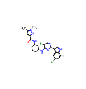 Cc1cc(C(=O)N[C@@H]2CCC[C@H](Nc3nc(-c4c[nH]c5c(F)cc(Cl)cc45)ncc3F)C2)nn1C